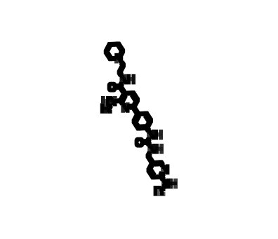 CCNc1ccc(CNC(=O)Nc2ccc(-c3ccc(C(=O)NCCN4CCCCC4)c(NCC)n3)cc2)cn1